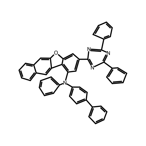 c1ccc(-c2ccc(N(c3ccccc3)c3cc(-c4nc(-c5ccccc5)nc(-c5ccccc5)n4)cc4oc5cc6ccccc6cc5c34)cc2)cc1